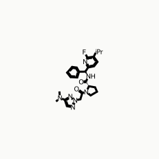 CC(C)c1ccc([C@@H](NC(=O)[C@@H]2CCCN2C(=O)Cn2ncc(N(C)C)n2)c2ccccc2)nc1F